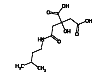 CC(C)CCNC(=O)CC(O)(CC(=O)O)C(=O)O